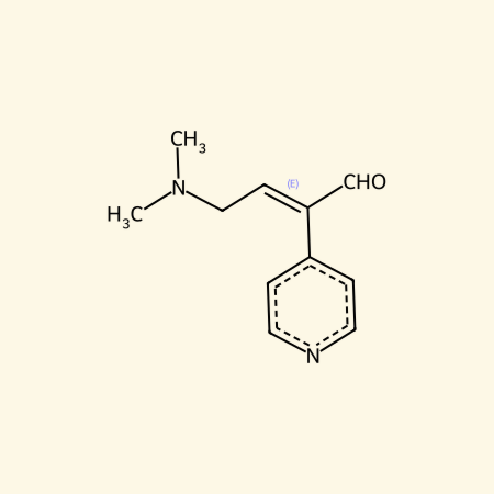 CN(C)C/C=C(/C=O)c1ccncc1